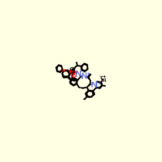 C=C1CC2C(CCc3ccc4c(oc5ccccc54)c3-c3n4c5c(cccc5[n+]31)C(C)c1cc(-c3ccccc3)cc(C(C)C)c1-4)c1cc(C)ccc1-c1cc(C)c([Si](C)(C)C)c[n+]12